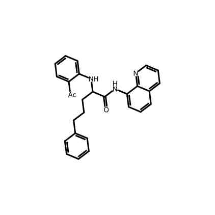 CC(=O)c1ccccc1NC(CCCc1ccccc1)C(=O)Nc1cccc2cccnc12